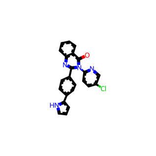 O=c1c2ccccc2nc(-c2ccc(-c3ccc[nH]3)cc2)n1-c1ccc(Cl)cn1